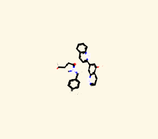 COc1ccc([C@H](C)N2C[C@H]([C@H](C)O)CC2=O)cc1.Oc1cc(-c2ccc3ccccc3n2)cc2ncccc12